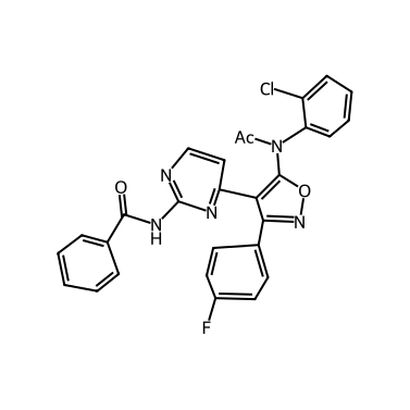 CC(=O)N(c1ccccc1Cl)c1onc(-c2ccc(F)cc2)c1-c1ccnc(NC(=O)c2ccccc2)n1